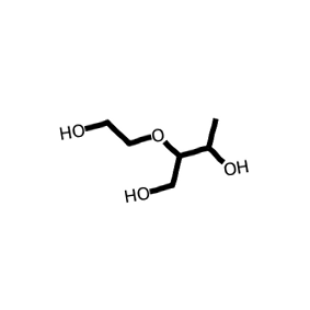 CC(O)C(CO)OCCO